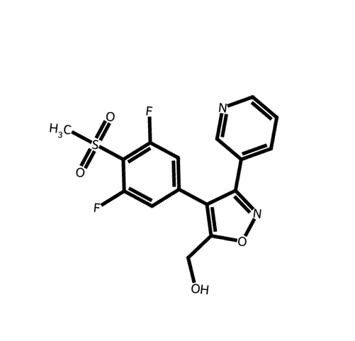 CS(=O)(=O)c1c(F)cc(-c2c(-c3cccnc3)noc2CO)cc1F